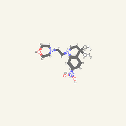 CC1(C)CCN(CCN2CCOCC2)c2cc([N+](=O)[O-])ccc21